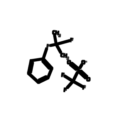 CC(C)(F)[I+]c1ccccc1.O=S(=O)([O-])C(F)(F)F